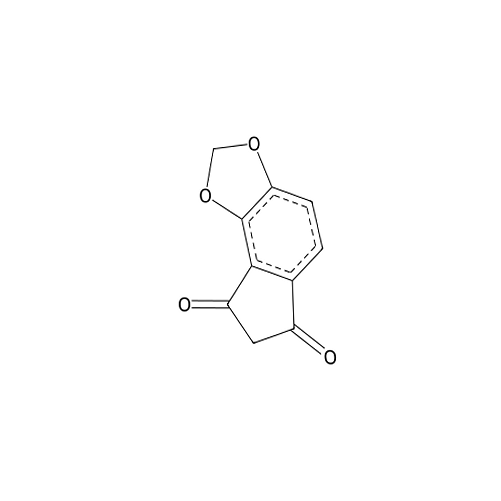 O=C1CC(=O)c2c1ccc1c2OCO1